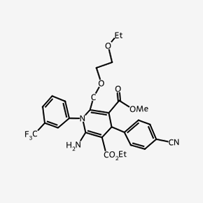 CCOCCOCC1=C(C(=O)OC)C(c2ccc(C#N)cc2)C(C(=O)OCC)=C(N)N1c1cccc(C(F)(F)F)c1